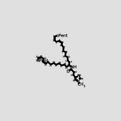 CCCCC/C=C\C/C=C\CCCCCCCCC(CCCCCCCC/C=C\C/C=C\CCCCC)NC(=O)CCc1cn(C)cn1